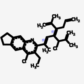 C=CC/C(C(=C)C)=C(/C=C(\C)c1nc2cc3c(cc2c(Cl)c1CC)CCC3)C(Cl)C(=C)C